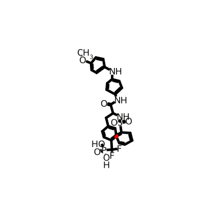 COc1ccc(Nc2ccc(NC(=O)C(Cc3ccc(C(F)(F)P(=O)(O)O)cc3)NS(=O)(=O)c3ccccc3)cc2)cc1